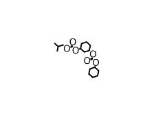 CC(C)COC(=O)OC1CCCC(OC(=O)OC2CCCCC2)C1